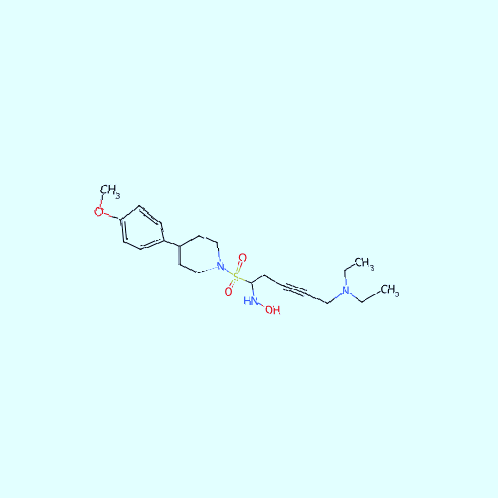 CCN(CC)CC#CCC(NO)S(=O)(=O)N1CCC(c2ccc(OC)cc2)CC1